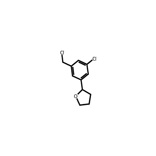 ClCc1cc(Cl)cc(C2CCCO2)c1